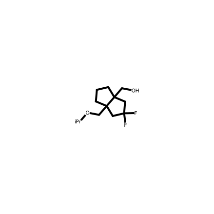 CC(C)OCC12CCCC1(CO)CC(F)(F)C2